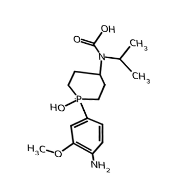 COc1cc([P]2(O)CCC(N(C(=O)O)C(C)C)CC2)ccc1N